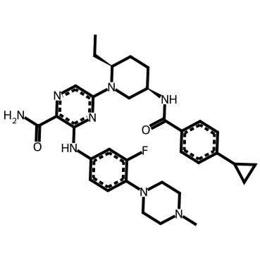 CC[C@H]1CC[C@@H](NC(=O)c2ccc(C3CC3)cc2)CN1c1cnc(C(N)=O)c(Nc2ccc(N3CCN(C)CC3)c(F)c2)n1